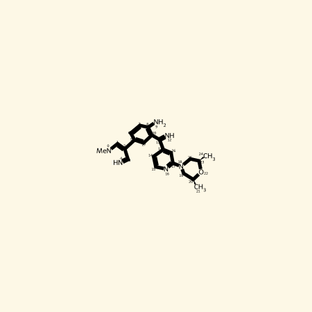 CN/C=C(\C=N)c1ccc(N)c(C(=N)c2ccnc(N3C[C@@H](C)O[C@@H](C)C3)c2)c1